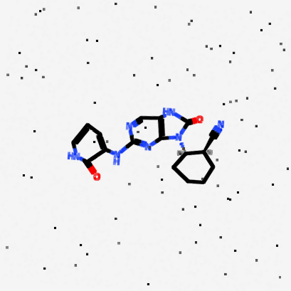 N#C[C@H]1CCCC[C@@H]1n1c(=O)[nH]c2cnc(Nc3ccc[nH]c3=O)nc21